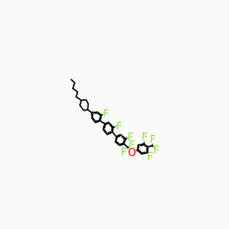 CCCCCC1CCC(c2ccc(-c3ccc(-c4ccc(C(F)(F)Oc5cc(F)c(C(F)F)c(F)c5)c(F)c4)c(F)c3)c(F)c2)CC1